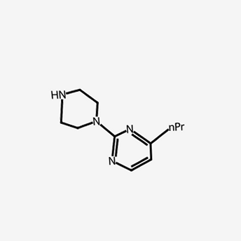 CCCc1ccnc(N2CCNCC2)n1